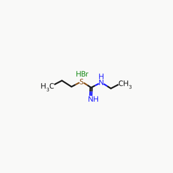 Br.CCCSC(=N)NCC